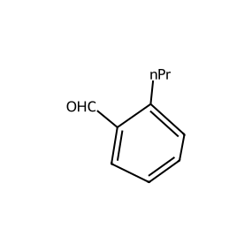 CCCc1ccccc1C=O